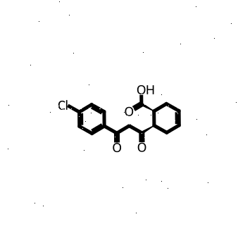 O=C(CC(=O)[C@@H]1CC=CC[C@@H]1C(=O)O)c1ccc(Cl)cc1